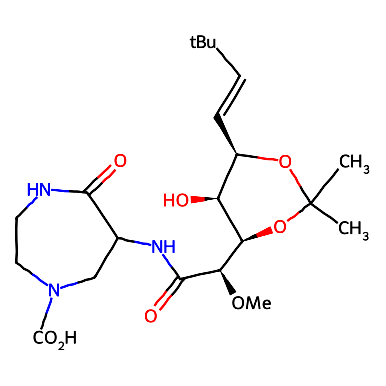 CO[C@@H](C(=O)NC1CN(C(=O)O)CCNC1=O)[C@@H]1OC(C)(C)O[C@H](C=CC(C)(C)C)[C@@H]1O